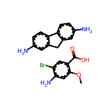 COc1cc(N)c(Br)cc1C(=O)O.Nc1ccc2c(c1)Cc1cc(N)ccc1-2